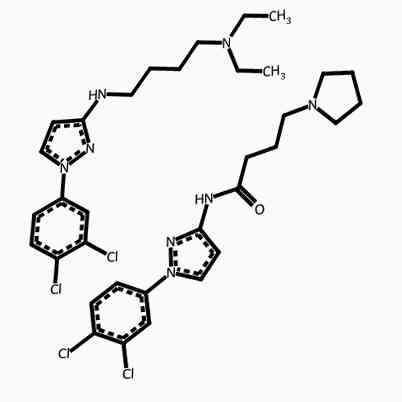 CCN(CC)CCCCNc1ccn(-c2ccc(Cl)c(Cl)c2)n1.O=C(CCCN1CCCC1)Nc1ccn(-c2ccc(Cl)c(Cl)c2)n1